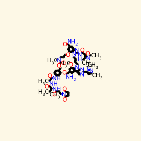 CCc1nc(C)oc1C(=O)Nc1nc2cc(C(N)=O)cc(OCCCN(C)C(=O)OCc3ccc(NC(=O)[C@H](C)NC(=O)[C@@H](NC(=O)CCN4C(=O)C=CC4=O)C(C)C)cc3)c2n1C/C=C/Cn1c2nc(-c3cc(C)nn3CC)ncc2c2cc(C(N)=O)cc(OC)c21